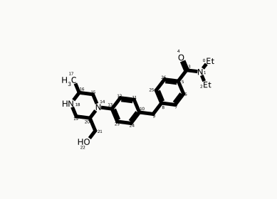 CCN(CC)C(=O)c1ccc(Cc2ccc(N3CC(C)NCC3CO)cc2)cc1